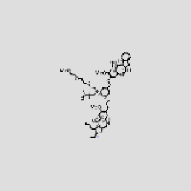 C=CCC1/C(=C\C)CC2=C=N[C@@H]3CC(CCC[C@H]4CC(COC5=C(OC)C[C@@H]6C(C5)N=C[C@@H]5CC7=CCCC[C@@H]7N5C6O)C[C@@H](N(CCOCCOCCOC)CC(C)(C)S(C)=S)C4)=C(OC)C[C@@H]3C(=O)N21